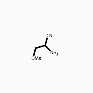 COCC(N)C#N